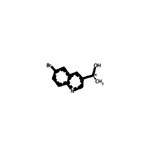 C[C@@H](O)c1cnc2ccc(Br)cc2c1